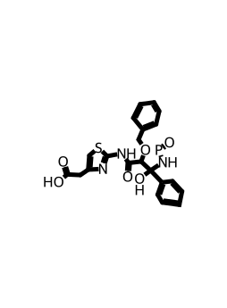 O=PNC(O)(c1ccccc1)C(OCc1ccccc1)C(=O)Nc1nc(CC(=O)O)cs1